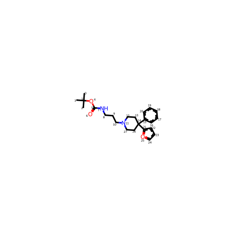 CC(C)(C)OC(=O)NCCCN1CCC(c2ccccc2)(c2ccco2)CC1